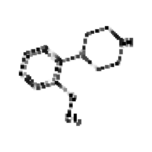 COc1cc[c]cc1N1CCNCC1